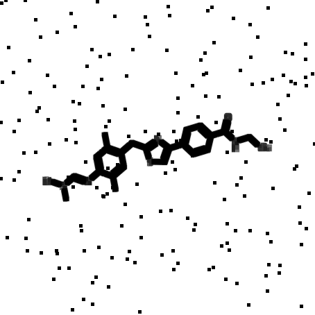 CCN(C)C=Nc1cc(C)c(Cc2nc(-c3ccc(C(=O)NCC(C)(C)C)cc3)cs2)cc1C